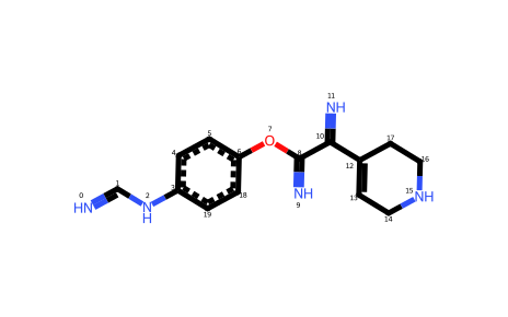 N=CNc1ccc(OC(=N)C(=N)C2=CCNCC2)cc1